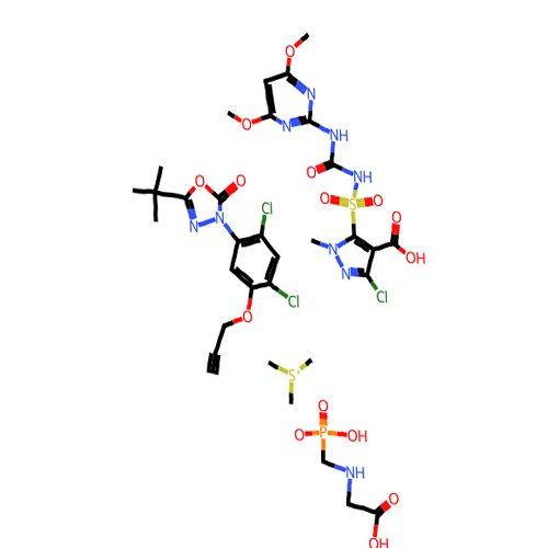 C#CCOc1cc(-n2nc(C(C)(C)C)oc2=O)c(Cl)cc1Cl.COc1cc(OC)nc(NC(=O)NS(=O)(=O)c2c(C(=O)O)c(Cl)nn2C)n1.C[S+](C)C.O=C(O)CNCP(=O)([O-])O